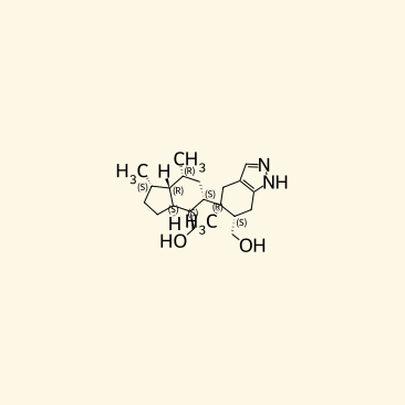 C[C@@H]1C[C@H]([C@@]2(C)Cc3cn[nH]c3C[C@@H]2CO)[C@@H](CO)[C@H]2CC[C@H](C)[C@@H]21